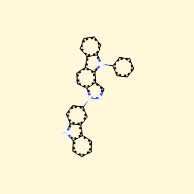 c1ccc(-n2c3ccccc3c3ccc4c(cnn4-c4ccc5[nH]c6ccccc6c5c4)c32)cc1